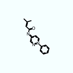 CC(C)=CC(=O)N=c1ccn(-c2ccccc2)nc1